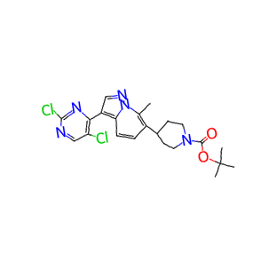 Cc1c(C2CCN(C(=O)OC(C)(C)C)CC2)ccc2c(-c3nc(Cl)ncc3Cl)cnn12